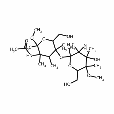 COC1(C)OC(CO)C(C)(OC2(C)OC(CO)C(C)(OC)C(C)(O)C2(C)N)C(C)C1(C)NC(C)=O